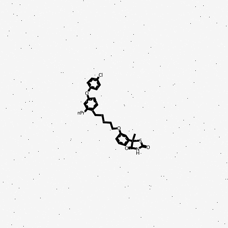 CCCc1cc(Oc2ccc(Cl)cc2)ccc1CCCCCOc1cccc(C2(C)SC(=O)NC2=O)c1